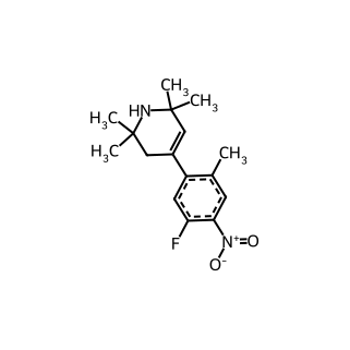 Cc1cc([N+](=O)[O-])c(F)cc1C1=CC(C)(C)NC(C)(C)C1